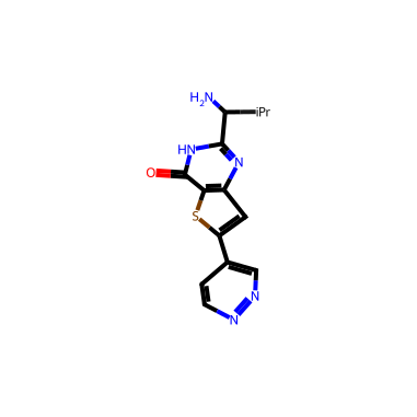 CC(C)C(N)c1nc2cc(-c3ccnnc3)sc2c(=O)[nH]1